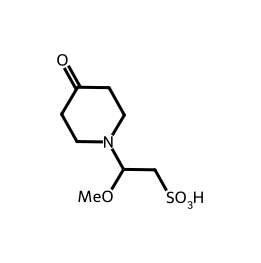 COC(CS(=O)(=O)O)N1CCC(=O)CC1